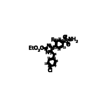 CCOC(=O)c1nc(Cc2ccc(Cl)cc2)n(-c2ccc(S(N)(=O)=O)cc2F)n1